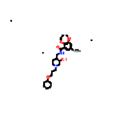 CNc1cc2c(c(C(=O)NC[C@@H]3CCN(CCCOC4CCCCC4)CC3O)c1)OCCCO2